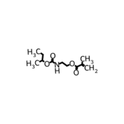 C=C(C)C(=O)OCCNC(=O)OC(C)CC